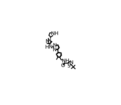 Cc1cc(-c2ccnc(Nc3cnn(C4CCNC4)c3)n2)ccc1CNC(=O)c1cnc(C(C)(C)C)s1